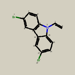 C=Cn1c2ccc(Br)cc2c2cc(Br)ccc21